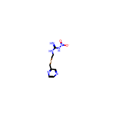 N=C(NCCSCc1cnccn1)N[N+](=O)[O-]